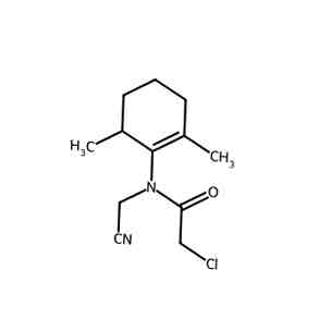 CC1=C(N(CC#N)C(=O)CCl)C(C)CCC1